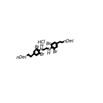 CCCCCCCCCCCCc1cc(Br)c(NCCNc2c(Br)cc(CCCCCCCCCCCC)cc2Br)c(Br)c1.Cl